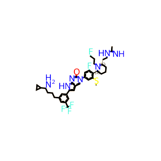 CSc1cc(-n2cc3cc(-c4cc(CCCC(N)C5CC5)cc(C(F)(F)F)c4)[nH]c3nc2=O)cc(F)c1[C@@H]1CCC[C@@H](CCNC(C)=N)N1CCCF